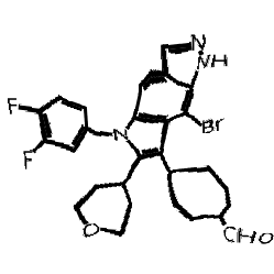 O=CC1CCC(c2c(C3CCOCC3)n(-c3ccc(F)c(F)c3)c3cc4cn[nH]c4c(Br)c23)CC1